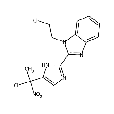 CC(Cl)(c1cnc(-c2nc3ccccc3n2CCCl)[nH]1)[N+](=O)[O-]